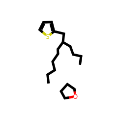 C1CCOC1.CCCCCCC(CCCC)Cc1cccs1